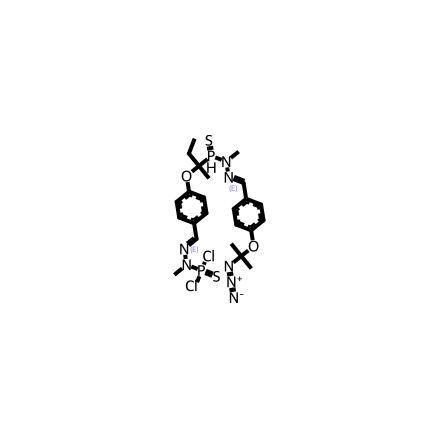 CCC(C)(Oc1ccc(/C=N/N(C)P(=S)(Cl)Cl)cc1)[PH](=S)N(C)/N=C/c1ccc(OC(C)(C)N=[N+]=[N-])cc1